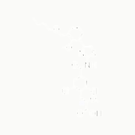 CCCCOCc1cccc(-c2csc(NC(=O)c3cc(Cl)c(/C=C(\OC)C(=O)O)c(Cl)c3)n2)c1OC